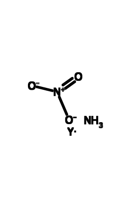 N.O=[N+]([O-])[O-].[Y]